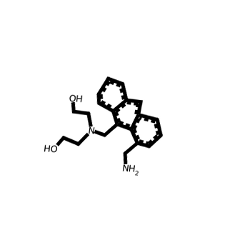 NCc1cccc2cc3ccccc3c(CN(CCO)CCO)c12